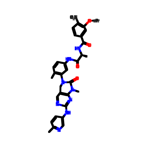 CCCOc1cc(C(=O)N[C@@H](C)C(=O)Nc2ccc(C)c(N3Cc4cnc(Nc5ccc(C)nc5)nc4N(C)C3=O)c2)ccc1[N+](=O)[O-]